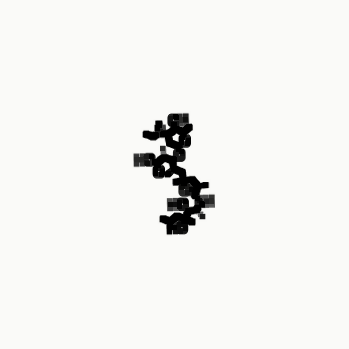 CCCC(C)(O)[C@H](O)[C@@H](C)NC[C@H](C)CC(C)(O)C[C@@H](C)C(O[C@H]1CC(N(C)CC)[C@H](O)C(C)O1)[C@@H](C)C(=O)O